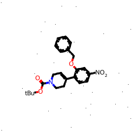 CC(C)(C)OC(=O)N1CC=C(c2ccc([N+](=O)[O-])cc2OCc2ccccc2)CC1